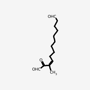 CC(=CCCCCCCCCC=O)C(=O)C=O